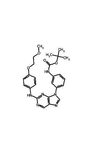 COCCOc1ccc(Nc2ncc3ncn(-c4cccc(NC(=O)OC(C)(C)C)c4)c3n2)cc1